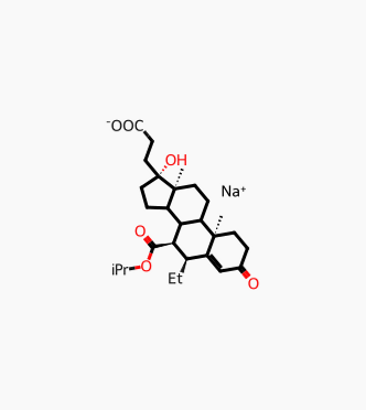 CC[C@@H]1C2=CC(=O)CC[C@]2(C)C2CC[C@@]3(C)C(CC[C@@]3(O)CCC(=O)[O-])C2[C@@H]1C(=O)OC(C)C.[Na+]